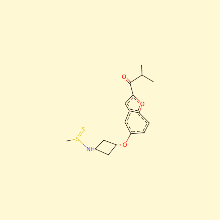 CC(C)C(=O)c1cc2cc(O[C@H]3C[C@H](NS(C)=S)C3)ccc2o1